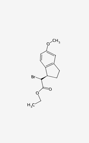 CCOC(=O)C(Br)[C@@H]1CCc2cc(OC)ccc21